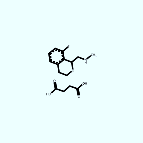 CNCC1OCCc2cccc(F)c21.O=C(O)CCC(=O)O